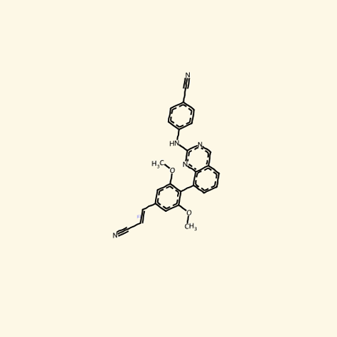 COc1cc(/C=C/C#N)cc(OC)c1-c1cccc2cnc(Nc3ccc(C#N)cc3)nc12